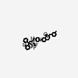 Cc1cccc(CN2CCc3ccc(N4CCN(CCCC5(C(=O)NCC(F)(F)F)c6ccccc6Oc6ccccc65)CC4)cc3C2=O)c1